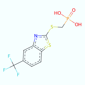 O=P(O)(O)CSc1nc2cc(C(F)(F)F)ccc2s1